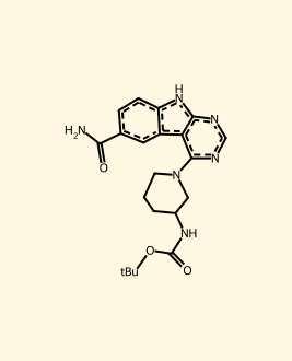 CC(C)(C)OC(=O)NC1CCCN(c2ncnc3[nH]c4ccc(C(N)=O)cc4c23)C1